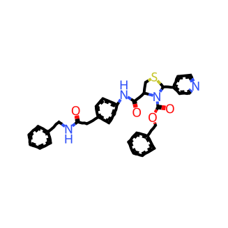 O=C(Cc1ccc(NC(=O)C2CSC(c3ccncc3)N2C(=O)OCc2ccccc2)cc1)NCc1ccccc1